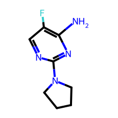 Nc1nc(N2CCCC2)ncc1F